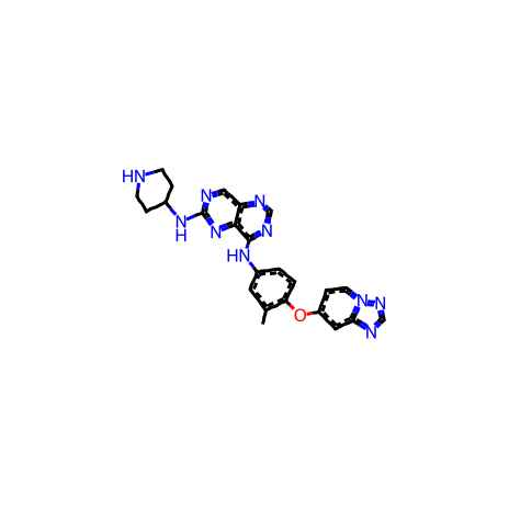 Cc1cc(Nc2ncnc3cnc(NC4CCNCC4)nc23)ccc1Oc1ccn2ncnc2c1